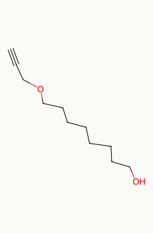 C#CCOCCCCCCCCO